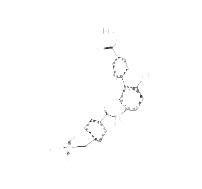 COC(=O)c1ccc(-c2cc(NC(=O)c3ccc(CS(C)(=O)=O)cc3)ccc2Cl)nc1